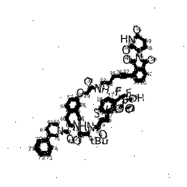 CC(C)(C)[C@H](NC(=O)c1cc2cc(C(F)(F)P(=O)(O)O)ccc2s1)C(=O)N1Cc2cc(OCC(=O)NCCCC#Cc3cccc4c3C(=O)N(C3CCC(=O)NC3=O)C4=O)ccc2C[C@H]1C(=O)N1CCCC(c2ccccc2)C1